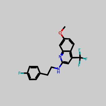 COc1ccc2c(C(F)(F)F)cc(NCCc3ccc(F)cc3)nc2c1